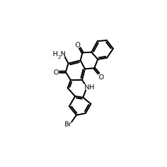 Nc1c2c(c3[nH]c4ccc(Br)cc4cc-3c1=O)C(=O)c1ccccc1C2=O